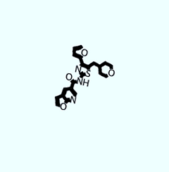 O=C(Nc1nc(-c2ccco2)c(CC2CCOCC2)s1)c1cnc2occc2c1